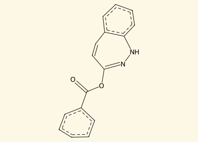 O=C(OC1=NNc2ccccc2C=C1)c1ccccc1